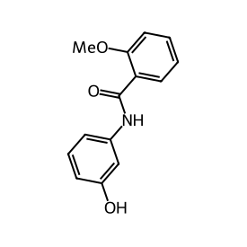 COc1ccccc1C(=O)Nc1cccc(O)c1